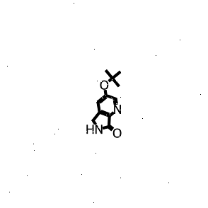 CC(C)(C)Oc1cnc2c(c1)CNC2=O